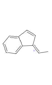 C/C=C1\C=Cc2ccccc21